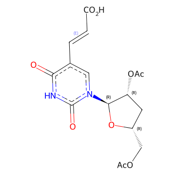 CC(=O)OC[C@H]1C[C@@H](OC(C)=O)[C@H](n2cc(/C=C/C(=O)O)c(=O)[nH]c2=O)O1